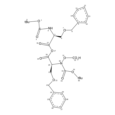 CC(C)(C)OC(=O)N[C@@H](COCc1ccccc1)C(=O)OC(=O)[C@H](COCc1ccccc1)N(OC(=O)O)C(=O)OC(C)(C)C